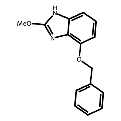 COc1nc2c(OCc3ccccc3)cccc2[nH]1